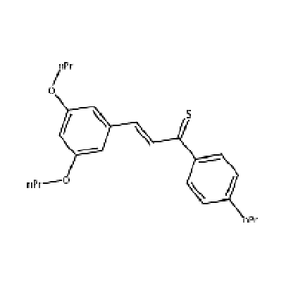 CCCOc1cc(C=CC(=S)c2ccc(CCC)cc2)cc(OCCC)c1